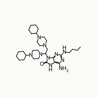 CCCCNc1nc(N)c2[nH]c(=O)n(C(CN3CCN(C4CCCCC4)CC3)N3CCN(C4CCCCC4)CC3)c2n1